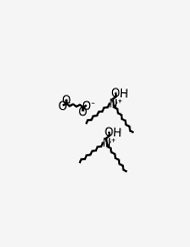 CCCCCCCCCC[N+](C)(CCO)CCCCCCCCCC.CCCCCCCCCC[N+](C)(CCO)CCCCCCCCCC.O=C([O-])CCCCC(=O)[O-]